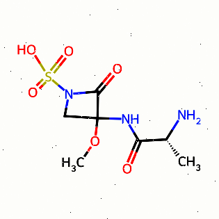 COC1(NC(=O)[C@@H](C)N)CN(S(=O)(=O)O)C1=O